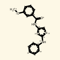 COc1cccc(C(=O)Nc2cnc(Nc3ccccc3)s2)c1